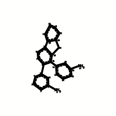 Nc1cccc(-c2ccc3c(c2-c2cccc(N)c2)Cc2ccccc2-3)c1